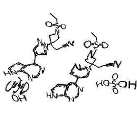 CCS(=O)(=O)N1CC(CC#N)(n2cc(-c3ncnc4[nH]ccc34)cn2)C1.CCS(=O)(=O)N1CC(CC#N)(n2cc(-c3ncnc4[nH]ccc34)cn2)C1.CS(=O)(=O)O.O=S(=O)(O)O